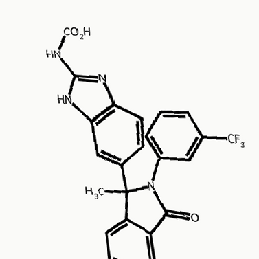 CC1(c2ccc3nc(NC(=O)O)[nH]c3c2)c2ccccc2C(=O)N1c1cccc(C(F)(F)F)c1